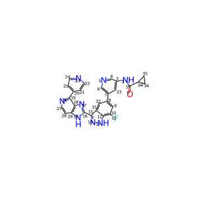 O=C(Nc1cncc(-c2cc(F)c3[nH]nc(-c4nc5c(-c6ccncc6)nccc5[nH]4)c3c2)c1)C1CC1